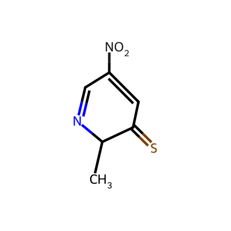 CC1N=CC([N+](=O)[O-])=CC1=S